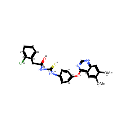 COc1cc2ncnc(Oc3ccc(NC(=S)NC(=O)Cc4ccccc4Cl)cc3)c2cc1OC